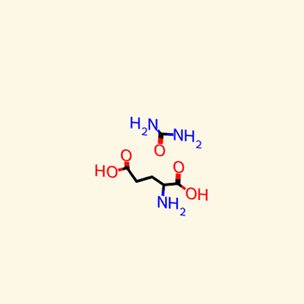 NC(CCC(=O)O)C(=O)O.NC(N)=O